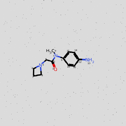 CN(C(=O)CN1CCC1)c1ccc(N)cc1